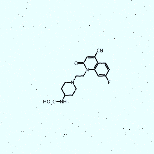 N#Cc1cc(=O)n(CCN2CCC(NC(=O)O)CC2)c2cc(F)ccc12